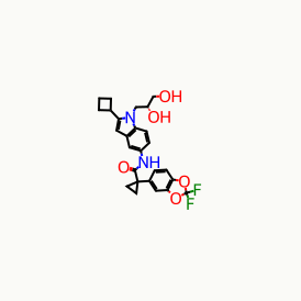 O=C(Nc1ccc2c(c1)cc(C1CCC1)n2C[C@@H](O)CO)C1(c2ccc3c(c2)OC(F)(F)O3)CC1